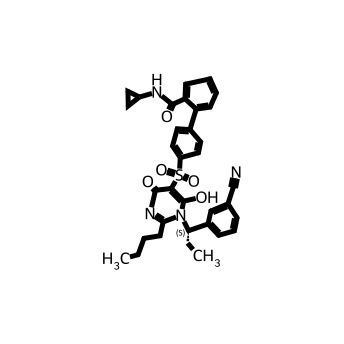 CCCCc1nc(=O)c(S(=O)(=O)c2ccc(-c3ccccc3C(=O)NC3CC3)cc2)c(O)n1[C@@H](CC)c1cccc(C#N)c1